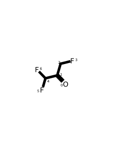 O=C(CF)C(F)F